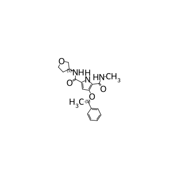 CNC(=O)c1[nH]c(C(=O)N[C@H]2CCOC2)cc1O[C@@H](C)c1ccccc1